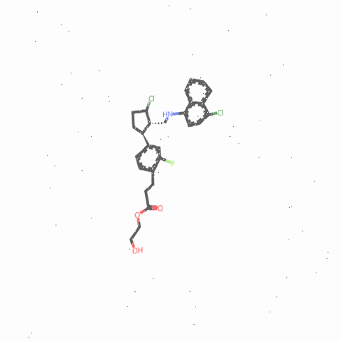 O=C(CCc1ccc([C@H]2CCC(Cl)[C@@H]2CNc2ccc(Cl)c3ccccc23)cc1F)OCCO